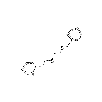 c1ccc(CSCCSCCc2ccccn2)cc1